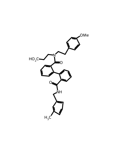 COc1ccc(CCN(CCC(=O)O)C(=O)c2ccccc2-c2ccccc2C(=O)NCc2cccc(C)c2)cc1